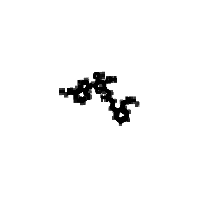 NCc1ccccc1CCNC[C@H]1O[C@@H](n2cnc3c(N)ncnc32)[C@H](O)[C@@H]1O